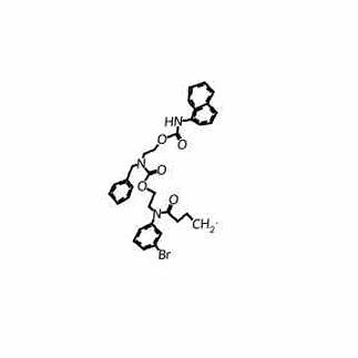 [CH2]CCC(=O)N(CCOC(=O)N(CCOC(=O)Nc1cccc2ccccc12)Cc1ccccc1)c1cccc(Br)c1